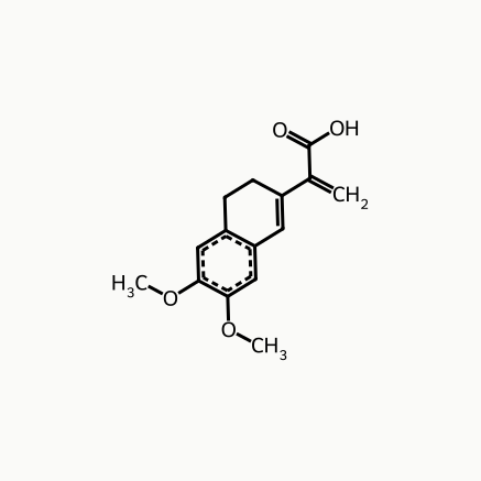 C=C(C(=O)O)C1=Cc2cc(OC)c(OC)cc2CC1